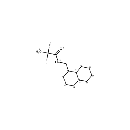 CC(F)(F)C(=O)NCC1CCCN2CCCCC12